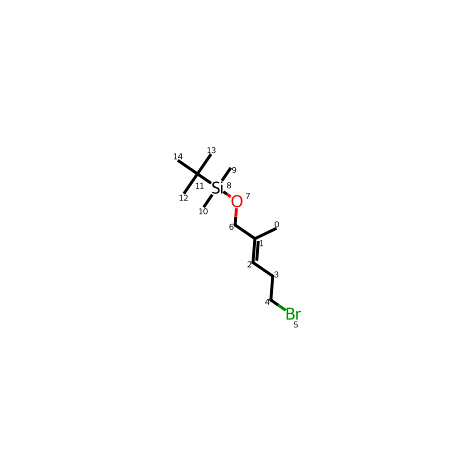 C/C(=C\CCBr)CO[Si](C)(C)C(C)(C)C